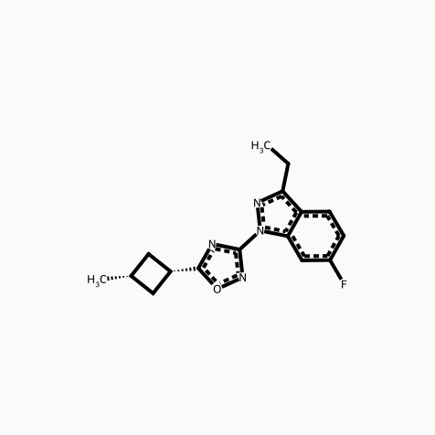 CCc1nn(-c2noc([C@H]3C[C@@H](C)C3)n2)c2cc(F)ccc12